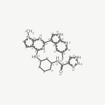 Cn1ccc2c(NC3CCCC(NC(=O)c4c[nH]nn4)C3)nc(-c3c[nH]c4ncc(F)cc34)nc21